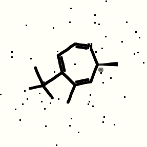 CC1=C[C@H](C)N=CC=C1C(C)(C)C